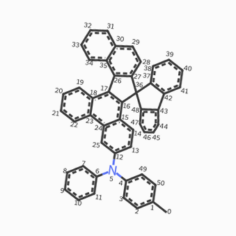 Cc1ccc(N(c2ccccc2)c2ccc3c4c(c5ccccc5c3c2)-c2c(ccc3ccccc23)C42c3ccccc3-c3ccccc32)cc1